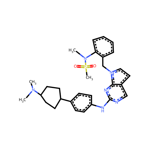 CN(C)C1CCC(c2ccc(Nc3ncc4ccn(Cc5ccccc5N(C)S(C)(=O)=O)c4n3)cc2)CC1